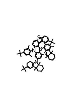 Cc1cc(C)c2c3c1B1c4c(cc(N5C6=C(C=C(C(C)(C)C)CC6)C6(C)CCCCC56C)cc4N3C3(C)CCCCC23C)N(c2c(C)cc(C(C)(C)C)cc2C)c2ccc3sc4ccc(C(C)(C)C)cc4c3c21